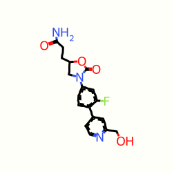 NC(=O)CCC1CN(c2ccc(-c3ccnc(CO)c3)c(F)c2)C(=O)O1